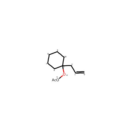 C=CCC1(OOC(C)=O)CCCCC1